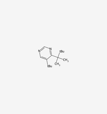 CC(C)(C)c1cncnc1C(C)(C)C(C)(C)C